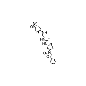 O=C(NCCNc1ccc([N+](=O)[O-])cn1)Nc1cc(N2CC(c3ccccc3)OC2=O)ccn1